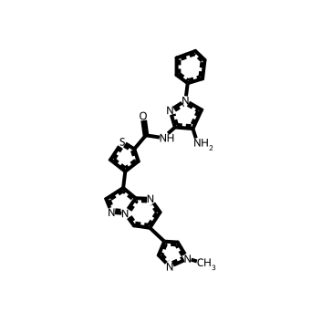 Cn1cc(-c2cnc3c(-c4csc(C(=O)Nc5nn(-c6ccccc6)cc5N)c4)cnn3c2)cn1